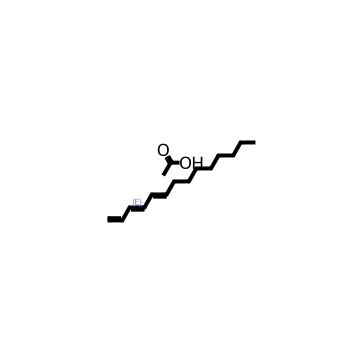 C=C/C=C/C=CCCCCCCCC.CC(=O)O